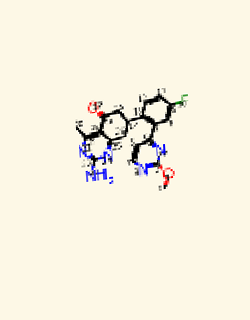 COc1nccc(-c2cc(F)ccc2C2CC(=O)c3c(C)nc(N)nc3C2)n1